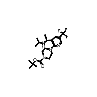 CC(C)NC(C)c1cc(C(F)(F)F)cnc1N1CCN(C(=O)OC(C)(C)C)CC1